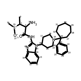 CC(C(N)C(=O)Nc1nc2ccccc2n1C1CCN(C2(c3ccccc3)CCCCCC2)CC1)[S+](C)[O-]